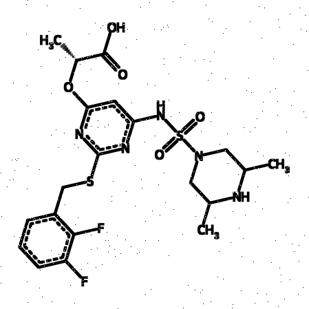 CC1CN(S(=O)(=O)Nc2cc(O[C@H](C)C(=O)O)nc(SCc3cccc(F)c3F)n2)CC(C)N1